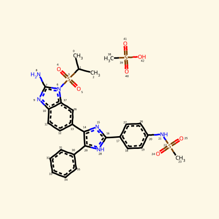 CC(C)S(=O)(=O)n1c(N)nc2ccc(-c3nc(-c4ccc(NS(C)(=O)=O)cc4)[nH]c3-c3ccccc3)cc21.CS(=O)(=O)O